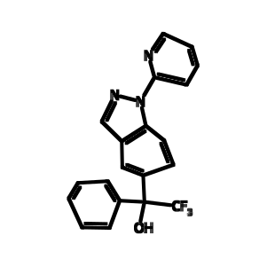 OC(c1ccccc1)(c1ccc2c(cnn2-c2ccccn2)c1)C(F)(F)F